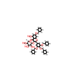 C[C@@H]1O[C@@H](Oc2c(-c3cc(OCc4ccccc4)c(OCc4ccccc4)c(OCc4ccccc4)c3)oc3cc(OCc4ccccc4)cc(O)c3c2=O)[C@@H](O)[C@@H](O)[C@H]1O